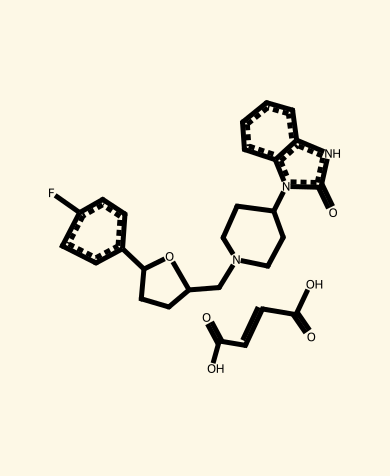 O=C(O)C=CC(=O)O.O=c1[nH]c2ccccc2n1C1CCN(CC2CCC(c3ccc(F)cc3)O2)CC1